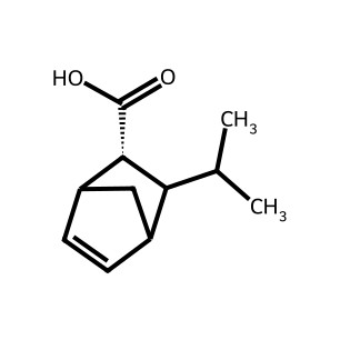 CC(C)C1C2C=CC(C2)[C@@H]1C(=O)O